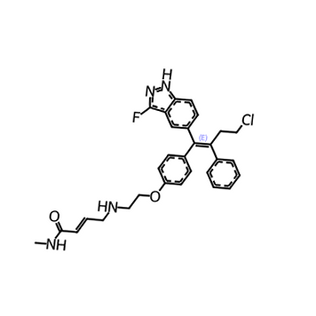 CNC(=O)C=CCNCCOc1ccc(/C(=C(/CCCl)c2ccccc2)c2ccc3[nH]nc(F)c3c2)cc1